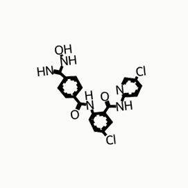 N=C(NO)c1ccc(C(=O)Nc2ccc(Cl)cc2C(=O)Nc2ccc(Cl)cn2)cc1